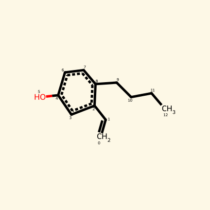 C=Cc1cc(O)ccc1CCCC